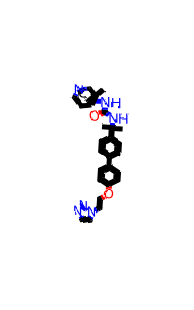 CC(C)(NC(=O)NC1(C)CN2CCC1CC2)c1ccc(-c2ccc(OCCn3ccnn3)cc2)cc1